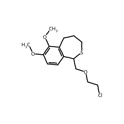 COc1ccc2c(c1OC)CCCSC2COCCCl